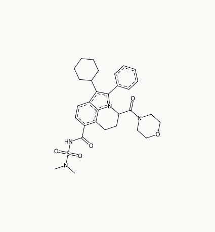 CN(C)S(=O)(=O)NC(=O)c1ccc2c(C3CCCCC3)c(-c3ccccc3)n3c2c1CCC3C(=O)N1CCOCC1